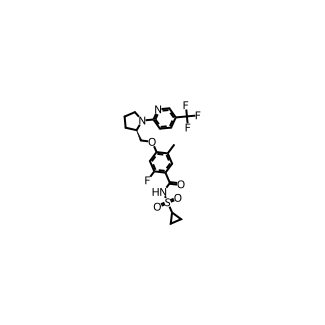 Cc1cc(C(=O)NS(=O)(=O)C2CC2)c(F)cc1OC[C@H]1CCCN1c1ccc(C(F)(F)F)cn1